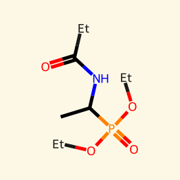 CCOP(=O)(OCC)C(C)NC(=O)CC